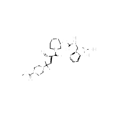 COC(=O)N1CCN(C(C)(C)C=C(C#N)C(=O)N2CCCC[C@@H](OC(=O)N[C@H](CB(O)O)c3ccccc3)C2)CC1